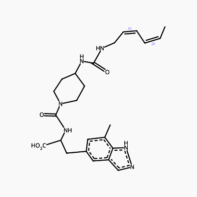 C/C=C\C=C/CNC(=O)NC1CCN(C(=O)NC(Cc2cc(C)c3[nH]ncc3c2)C(=O)O)CC1